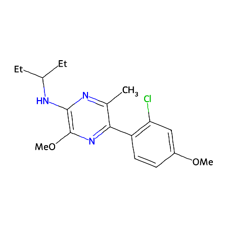 CCC(CC)Nc1nc(C)c(-c2ccc(OC)cc2Cl)nc1OC